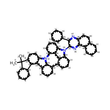 CC1(C)c2ccccc2-c2c1ccc1c2c2cccc3c4cccc5c4c4c(cccc4n1c32)n5-c1nc2c(ccc3ccccc32)nc1-c1ccccc1